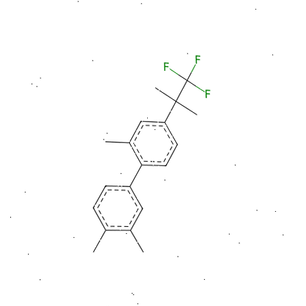 Cc1ccc(-c2ccc(C(C)(C)C(F)(F)F)cc2C)cc1C